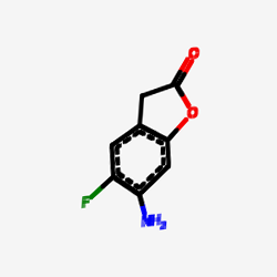 Nc1cc2c(cc1F)CC(=O)O2